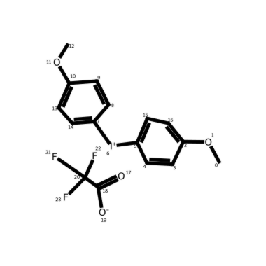 COc1ccc([I+]c2ccc(OC)cc2)cc1.O=C([O-])C(F)(F)F